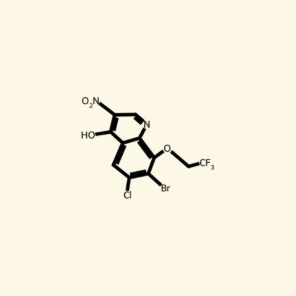 O=[N+]([O-])c1cnc2c(OCC(F)(F)F)c(Br)c(Cl)cc2c1O